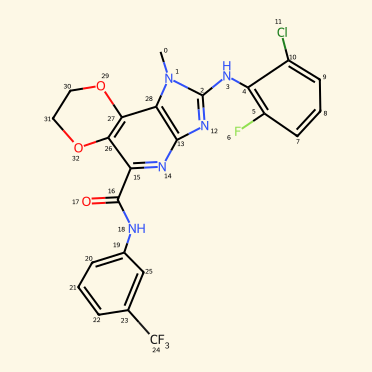 Cn1c(Nc2c(F)cccc2Cl)nc2nc(C(=O)Nc3cccc(C(F)(F)F)c3)c3c(c21)OCCO3